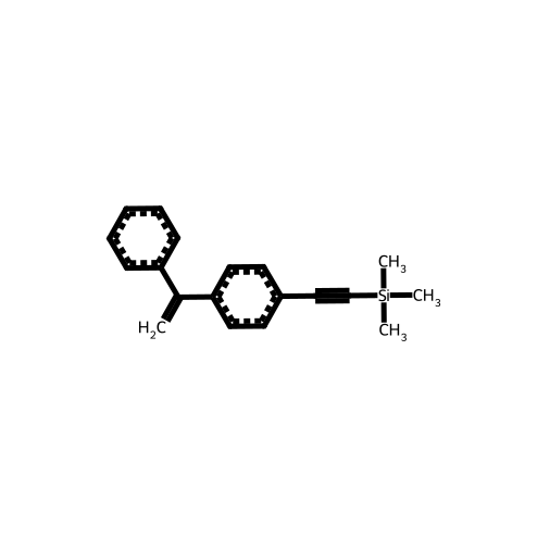 C=C(c1ccccc1)c1ccc(C#C[Si](C)(C)C)cc1